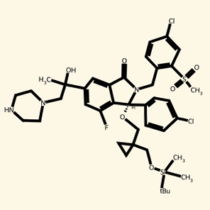 CC(O)(CN1CCNCC1)c1cc(F)c2c(c1)C(=O)N(Cc1ccc(Cl)cc1S(C)(=O)=O)[C@@]2(OCC1(CO[Si](C)(C)C(C)(C)C)CC1)c1ccc(Cl)cc1